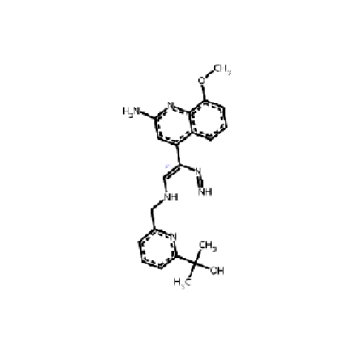 COc1cccc2c(/C(=C/NCc3cccc(C(C)(C)O)n3)N=N)cc(N)nc12